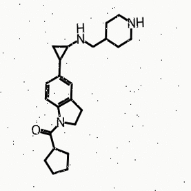 O=C(C1CCCC1)N1CCc2cc(C3CC3NCC3CCNCC3)ccc21